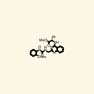 COC(=O)[C@@H](Nc1nc(CNC(=O)Nc2ccccc2OC)nc2ccccc12)C(C)C